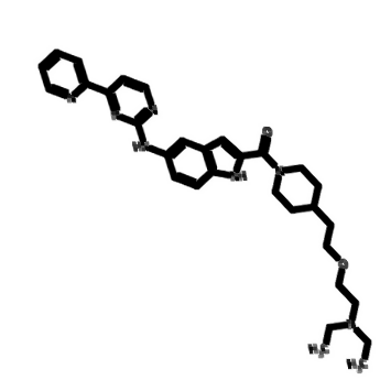 CCN(CC)CCOCCC1CCN(C(=O)c2cc3cc(Nc4nccc(-c5ccccn5)n4)ccc3[nH]2)CC1